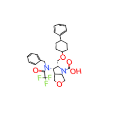 O=C(O)N1C2COCC2[C@H](N(Cc2ccccc2)C(=O)C(F)(F)F)[C@@H]1COC1CCC(c2ccccc2)CC1